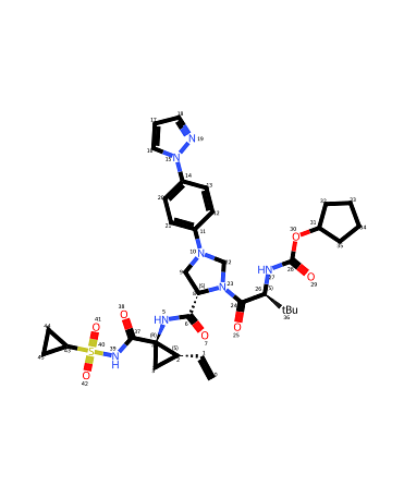 C=C[C@@H]1C[C@]1(NC(=O)[C@@H]1CN(c2ccc(-n3cccn3)cc2)CN1C(=O)[C@@H](NC(=O)OC1CCCC1)C(C)(C)C)C(=O)NS(=O)(=O)C1CC1